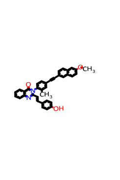 COc1ccc2cc(C#Cc3ccc(-n4c(/C=C/c5ccc(O)cc5)nc5ccccc5c4=O)c(C)c3)ccc2c1